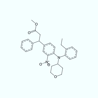 CCc1ccccc1N(c1ccc(C(CC(=O)OC)c2ccccc2)cc1[N+](=O)[O-])C1CCOCC1